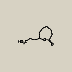 O=C(O)CCC1CCCCCC(=O)O1